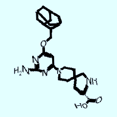 Nc1nc(OCC2C3CC4CC(C3)CC2C4)cc(N2CCC3(CC2)CN[C@H](C(=O)O)C3)n1